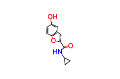 O=C(NC1CC1)c1cc2cc(O)ccc2o1